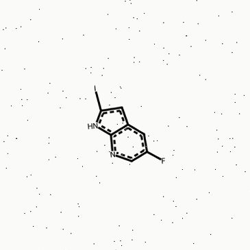 Fc1cnc2[nH]c(I)cc2c1